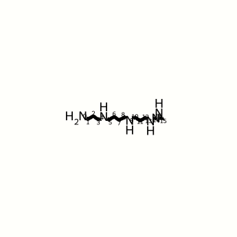 NCCCNCCCCNCCCNN1CN1